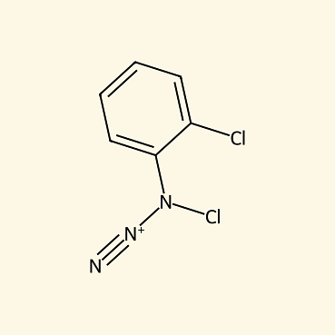 N#[N+]N(Cl)c1ccccc1Cl